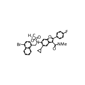 CNC(=O)c1c(-c2ccc(F)cc2)oc2cc(N(Cc3ccc(Br)c4ccccc34)S(C)(=O)=O)c(C3CC3)cc12